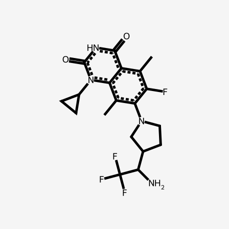 Cc1c(F)c(N2CCC(C(N)C(F)(F)F)C2)c(C)c2c1c(=O)[nH]c(=O)n2C1CC1